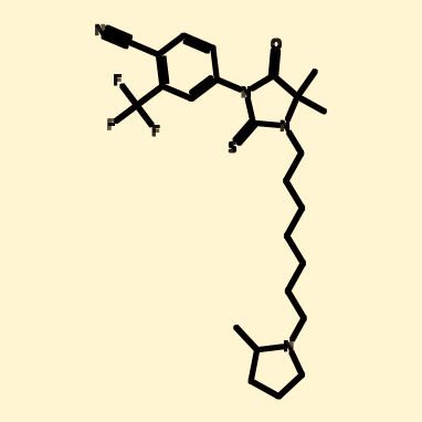 CC1CCCN1CCCCCCCN1C(=S)N(c2ccc(C#N)c(C(F)(F)F)c2)C(=O)C1(C)C